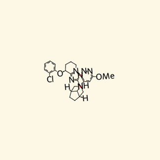 COc1cc(N2C[C@H]3CC[C@@H](C2)C3Nc2nc3n(n2)CCC[C@@H]3Oc2ccccc2Cl)cnn1